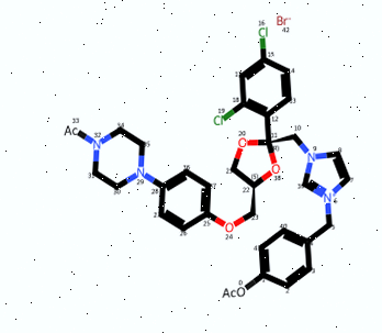 CC(=O)Oc1ccc(C[n+]2ccn(C[C@]3(c4ccc(Cl)cc4Cl)OC[C@H](COc4ccc(N5CCN(C(C)=O)CC5)cc4)O3)c2)cc1.[Br-]